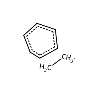 [CH2]C.[c]1ccccc1